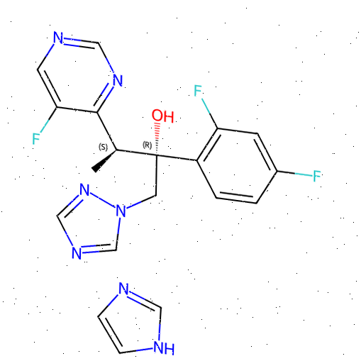 C[C@@H](c1ncncc1F)[C@](O)(Cn1cncn1)c1ccc(F)cc1F.c1c[nH]cn1